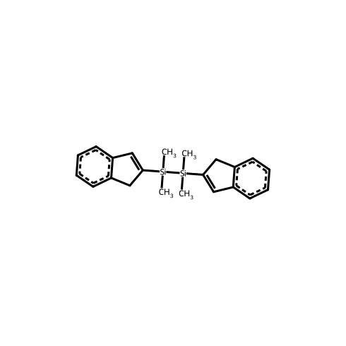 C[Si](C)(C1=Cc2ccccc2C1)[Si](C)(C)C1=Cc2ccccc2C1